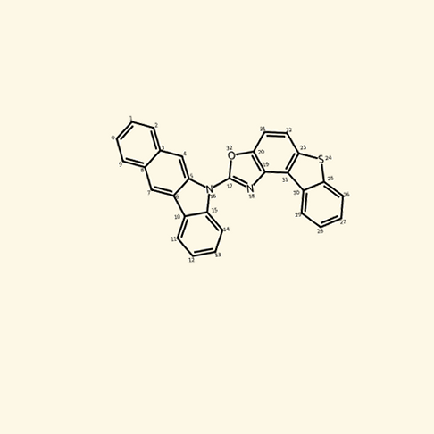 c1ccc2cc3c(cc2c1)c1ccccc1n3-c1nc2c(ccc3sc4ccccc4c32)o1